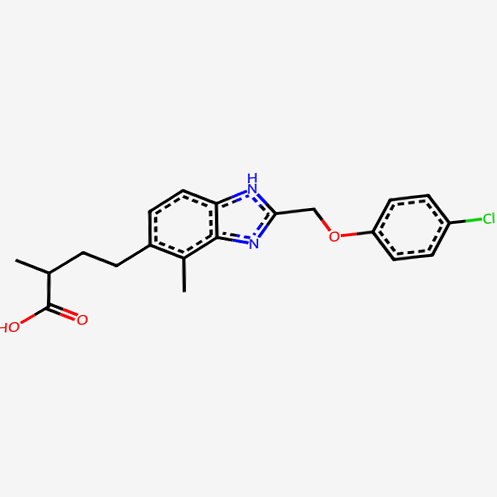 Cc1c(CCC(C)C(=O)O)ccc2[nH]c(COc3ccc(Cl)cc3)nc12